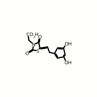 O=C(O)CN1C(=O)SC(=CCc2cc(O)cc(O)c2)C1=O